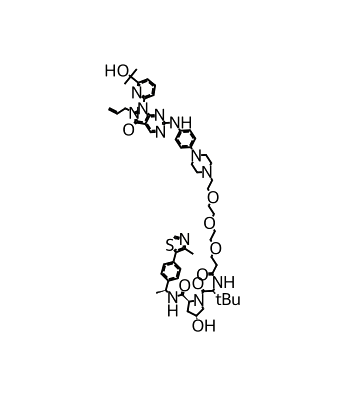 C=CCn1c(=O)c2cnc(Nc3ccc(N4CCN(CCOCCOCCOCCC(=O)N[C@H](C(=O)N5C[C@H](O)C[C@H]5C(=O)N[C@@H](C)c5ccc(-c6scnc6C)cc5)C(C)(C)C)CC4)cc3)nc2n1-c1cccc(C(C)(C)O)n1